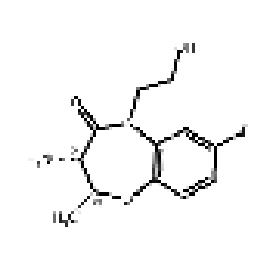 C[C@H]1Oc2ccc(F)cc2N(CCO)C(=O)[C@H]1N